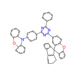 C1=CC2=C(CC1)C1(c3ccccc3Oc3ccc(-c4nc(-c5ccccc5)nc(-c5ccc(N6c7ccccc7Oc7ccccc76)cc5)n4)cc31)c1ccccc12